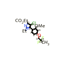 CCOC(=O)c1nn(CC)c(-c2ccc(OCC(C)(F)F)cc2OC)c1Cl